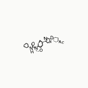 CC(=O)C1CCC(Oc2cnc(-c3ccc4c(c3)OCCN4C(=O)Nc3ccccc3)cn2)CC1